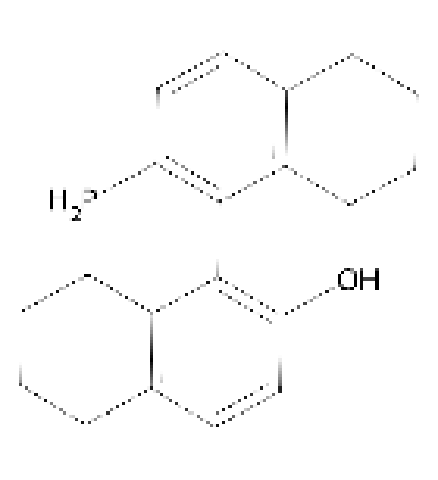 Oc1ccc2c(c1-c1c(P)ccc3c1CCCC3)CCCC2